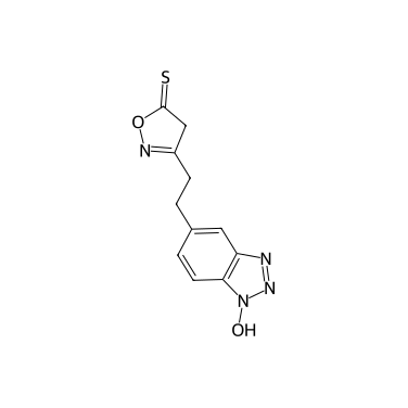 On1nnc2cc(CCC3=NOC(=S)C3)ccc21